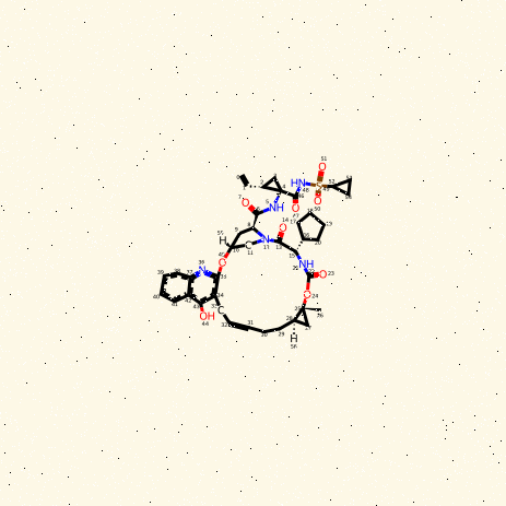 C=C[C@@H]1C[C@]1(NC(=O)[C@@H]1C[C@@H]2CN1C(=O)[C@H](C1CCCC1)NC(=O)O[C@]1(C)C[C@H]1CCC=CCc1c(nc3ccccc3c1O)O2)C(=O)NS(=O)(=O)C1CC1